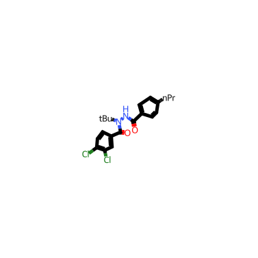 CCCc1ccc(C(=O)NN(C(=O)c2ccc(Cl)c(Cl)c2)C(C)(C)C)cc1